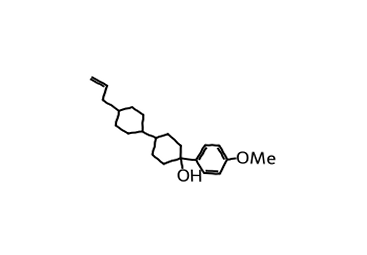 C=CCC1CCC(C2CCC(O)(c3ccc(OC)cc3)CC2)CC1